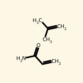 C=C(C)C.C=CC(N)=O